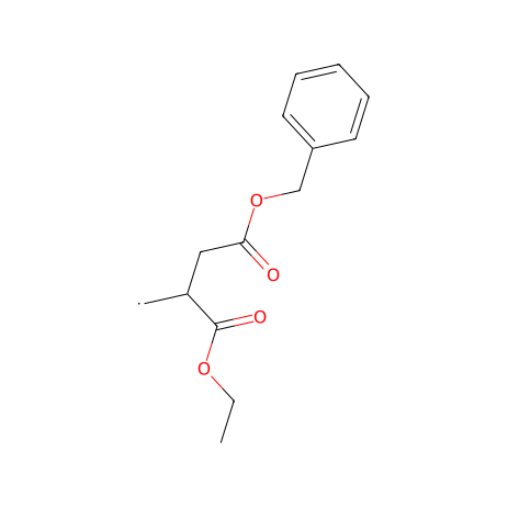 [CH2]C(CC(=O)OCc1ccccc1)C(=O)OCC